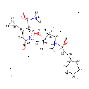 CN(C)C(=O)c1cn(C[C@]2(O)CCN(C(=O)CCC3CCCCC3)CC2(C)C)c(=O)cc1C1CC1